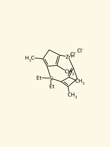 CC[Si]1(CC)C2=C(C)C[C](=C2C)[Zr+2][C]2=C(C)C1=C(C)C2.[Cl-].[Cl-]